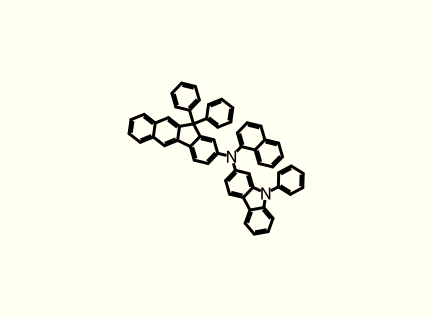 c1ccc(-n2c3ccccc3c3ccc(N(c4ccc5c(c4)C(c4ccccc4)(c4ccccc4)c4cc6ccccc6cc4-5)c4cccc5ccccc45)cc32)cc1